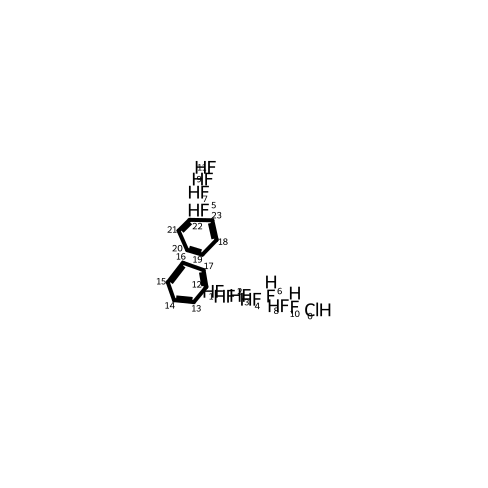 Cl.F.F.F.F.F.F.F.F.F.F.F.c1ccccc1.c1ccccc1